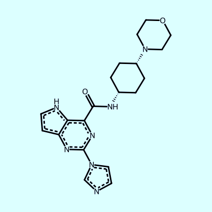 O=C(N[C@H]1CC[C@@H](N2CCOCC2)CC1)c1nc(-n2ccnc2)nc2cc[nH]c12